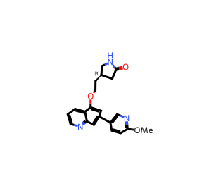 COc1ccc(-c2cc(OCC[C@H]3CNC(=O)C3)c3cccnc3c2)cn1